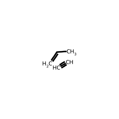 C#C.C=CC